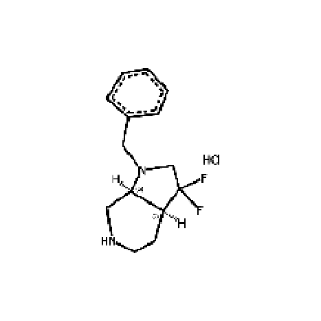 Cl.FC1(F)CN(Cc2ccccc2)[C@@H]2CNCC[C@@H]21